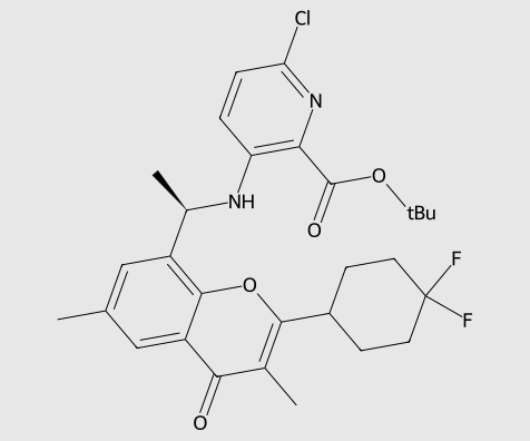 Cc1cc([C@@H](C)Nc2ccc(Cl)nc2C(=O)OC(C)(C)C)c2oc(C3CCC(F)(F)CC3)c(C)c(=O)c2c1